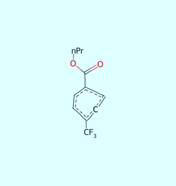 CCCOC(=O)c1ccc(C(F)(F)F)cc1